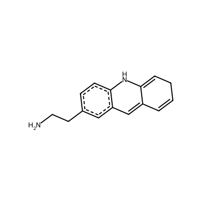 NCCc1ccc2c(c1)C=C1C=CCC=C1N2